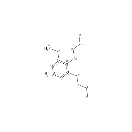 CCCCc1cccc(CP)c1CCCC.I